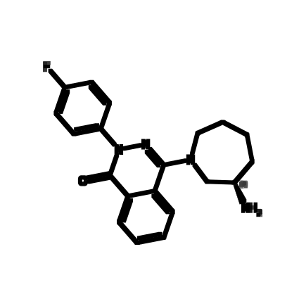 N[C@@H]1CCCCN(c2nn(-c3ccc(F)cc3)c(=O)c3ccccc23)C1